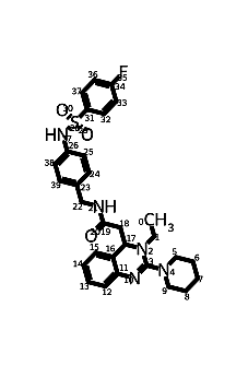 CCN1C(N2CCCCC2)=Nc2ccccc2C1CC(=O)NCc1ccc(NS(=O)(=O)c2ccc(F)cc2)cc1